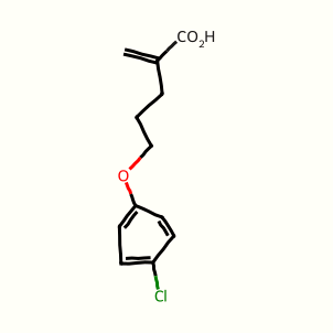 C=C(CCCOc1ccc(Cl)cc1)C(=O)O